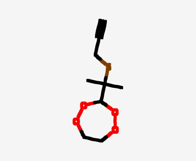 C#CCSC(C)(C)C1OOCCOO1